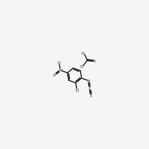 O=[N+]([O-])c1ccc(N=C=S)c(Cl)c1.S=C(Cl)Cl